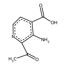 CC(=O)c1nccc(C(=O)O)c1N